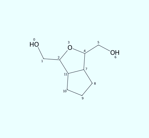 OCC1OC(CO)C2CCCC12